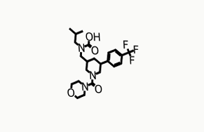 CC(C)CN(CC1CC(c2ccc(C(F)(F)F)cc2)CN(C(=O)N2CCOCC2)C1)C(=O)O